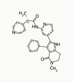 C[C@H](C(=O)Nc1cc(-c2[nH]c3c(c2-c2ccccc2)C(=O)N(C)CC3)ccn1)c1ccncc1